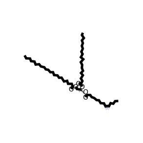 CCCC/C=C\CCCCCCCC(=O)OC[C@H](COC(=O)CCCCCCCCCCCCCCCCCCCCC)OC(=O)CCCCCCCCCCCCCCCCCCC